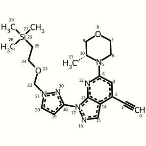 C#Cc1cc(N2CCOC[C@H]2C)nc2c1cnn2-c1ccn(COCC[Si](C)(C)C)n1